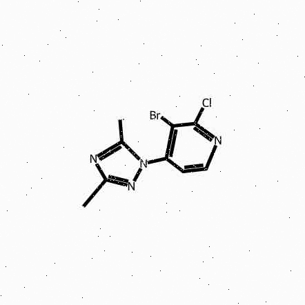 [CH2]c1nc(C)nn1-c1ccnc(Cl)c1Br